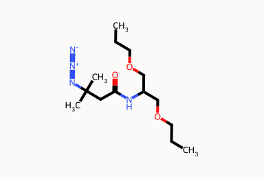 CCCOCC(COCCC)NC(=O)CC(C)(C)N=[N+]=[N-]